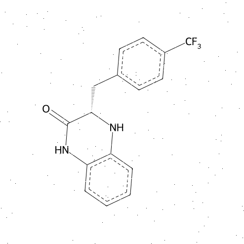 O=C1Nc2ccccc2N[C@H]1Cc1ccc(C(F)(F)F)cc1